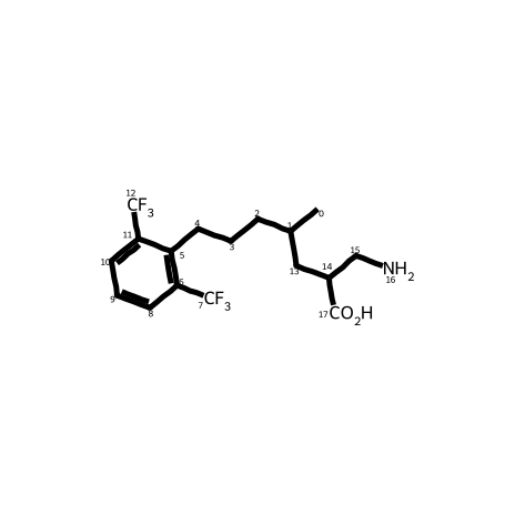 CC(CCCc1c(C(F)(F)F)cccc1C(F)(F)F)CC(CN)C(=O)O